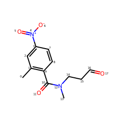 Cc1cc([N+](=O)[O-])ccc1C(=O)N(C)CCC=O